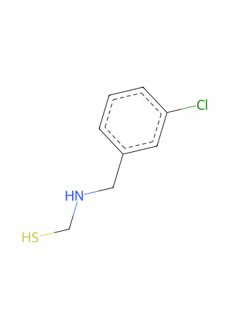 SCNCc1cccc(Cl)c1